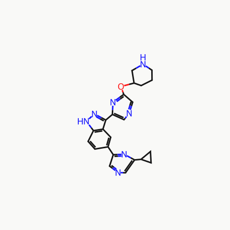 c1cc2[nH]nc(-c3cncc(OC4CCCNC4)n3)c2cc1-c1cncc(C2CC2)n1